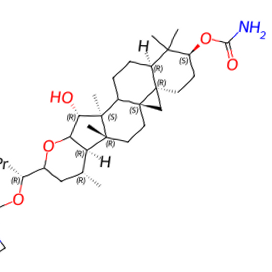 CC(C)[C@@H](OC(=O)N1CCC1)C1C[C@@H](C)[C@H]2C(O1)[C@H](O)[C@@]1(C)C3CC[C@H]4C(C)(C)[C@@H](OC(N)=O)CC[C@@]45C[C@@]35CC[C@]21C